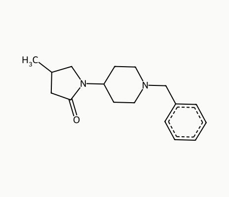 CC1CC(=O)N(C2CCN(Cc3ccccc3)CC2)C1